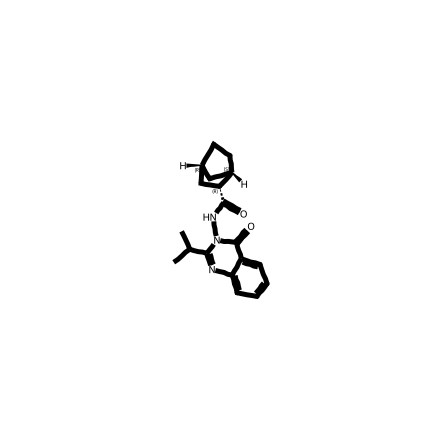 CC(C)c1nc2ccccc2c(=O)n1NC(=O)[C@@H]1C[C@@H]2CC[C@H]1C2